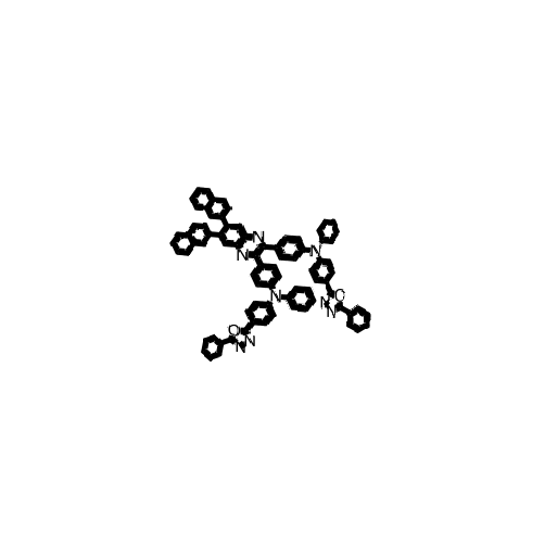 c1ccc(-c2nnc(-c3ccc(N(c4ccccc4)c4ccc(-c5nc6cc(-c7ccc8ccccc8c7)c(-c7ccc8ccccc8c7)cc6nc5-c5ccc(N(c6ccccc6)c6ccc(-c7nnc(-c8ccccc8)o7)cc6)cc5)cc4)cc3)o2)cc1